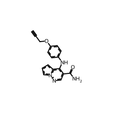 C#CCOc1ccc(Nc2c(C(N)=O)cnn3cccc23)cc1